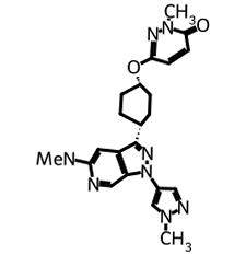 CNc1cc2c(cn1)n(-c1cnn(C)c1)nc2[C@H]1CC[C@@H](Oc2ccc(=O)n(C)n2)CC1